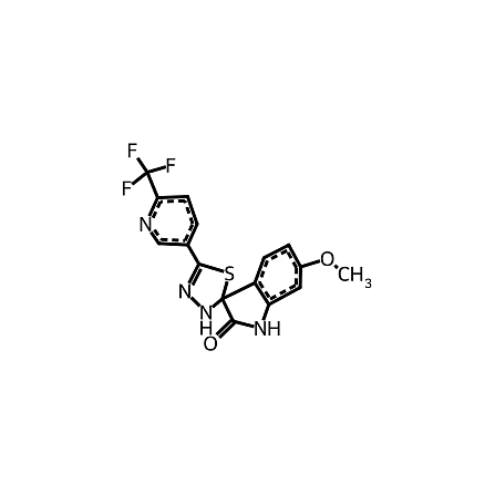 COc1ccc2c(c1)NC(=O)C21NN=C(c2ccc(C(F)(F)F)nc2)S1